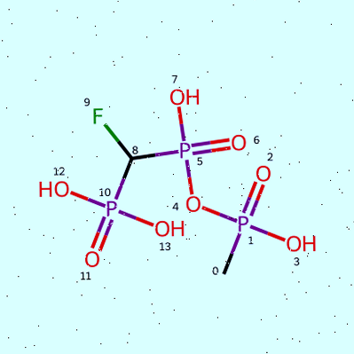 CP(=O)(O)OP(=O)(O)C(F)P(=O)(O)O